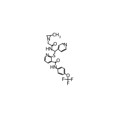 CC1CN1CC(=O)NC(Sc1ncccc1C(=O)Nc1ccc(OC(F)(F)F)cc1)c1ccncc1